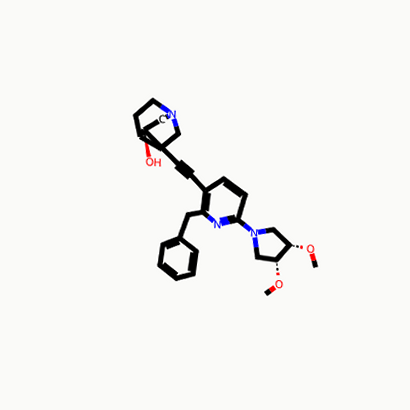 CO[C@H]1CN(c2ccc(C#C[C@@]3(O)CN4CCC3CC4)c(Cc3ccccc3)n2)C[C@H]1OC